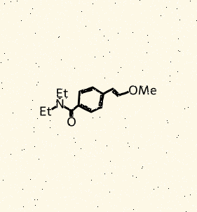 CCN(CC)C(=O)c1ccc(C=COC)cc1